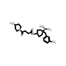 Cc1cccc(CC2(N(C)C)CCC(NC(=O)CCC(=O)N3CCC(C)CC3)CC2)c1